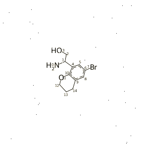 NC(CO)c1cc(Br)cc2c1OCCC2